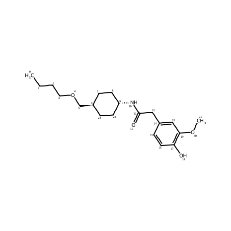 CCCCOC[C@H]1CC[C@H](NC(=O)Cc2ccc(O)c(OC)c2)CC1